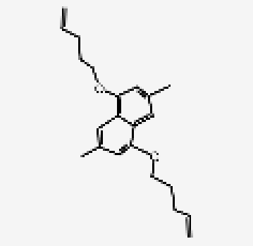 C=CCCCOc1cc(C)cc2c(OCCCC=C)cc(C)cc12